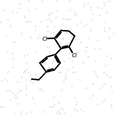 CCc1ccc(C2=C(Cl)CCC=C2Cl)cc1